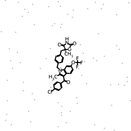 Cc1c(C(=O)c2ccc(Cl)cc2)c2ccc(OC(F)(F)F)cc2n1Cc1ccc(C[C@]2(C)OC(=O)NC2=O)cc1